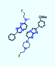 CN(CCF)c1ccn2cc(-c3ccccc3)nc2n1.COc1cccc(-c2cn3ccc(N4CCN(CCF)CC4)nc3n2)c1